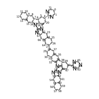 c1cnc(-c2cc3c4cc5ccccc5cc4n4c3c(c2)n2c3cc5ccc(-c6ccc7cc8c(cc7c6)c6cc(-c7ncncn7)cc7c6n8c6nc8cc9ccccc9cc8n76)cc5cc3nc24)nc1